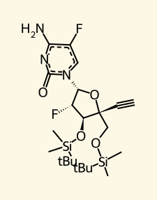 C#C[C@]1(CO[Si](C)(C)C(C)(C)C)O[C@@H](n2cc(F)c(N)nc2=O)[C@@H](F)[C@@H]1O[Si](C)(C)C(C)(C)C